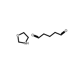 C1COCN1.O=CCCCC=O